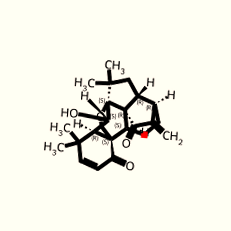 C=C1C(=O)[C@@]23[C@@H]4CC(C)(C)[C@]25OC[C@]2(C(=O)C=CC(C)(C)[C@H]2[C@@H]5O)[C@@H]3CC[C@@H]14